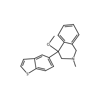 COC1(c2ccc3sccc3c2)CN(C)Cc2ccccc21